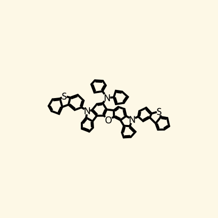 c1ccc(N(c2ccccc2)c2cc3c(c4ccccc4n3-c3ccc4sc5ccccc5c4c3)c3oc4c(ccc5c4c4ccccc4n5-c4ccc5sc6ccccc6c5c4)c23)cc1